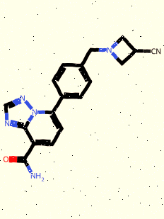 N#CC1CN(Cc2ccc(-c3ccc(C(N)=O)c4n[c]nn34)cc2)C1